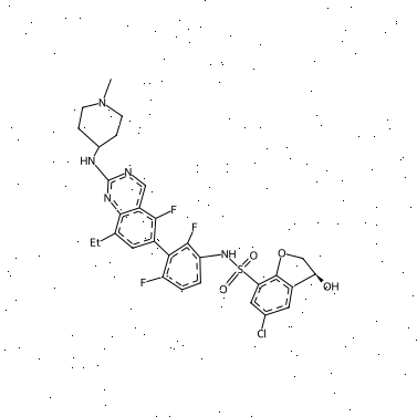 CCc1cc(-c2c(F)ccc(NS(=O)(=O)c3cc(Cl)cc4c3OC[C@H]4O)c2F)c(F)c2cnc(NC3CCN(C)CC3)nc12